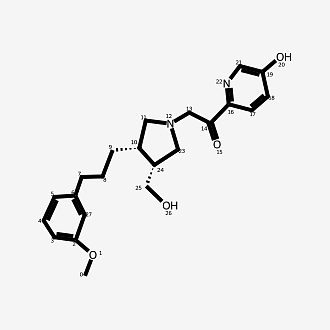 COc1cccc(CCC[C@@H]2CN(CC(=O)c3ccc(O)cn3)C[C@@H]2CO)c1